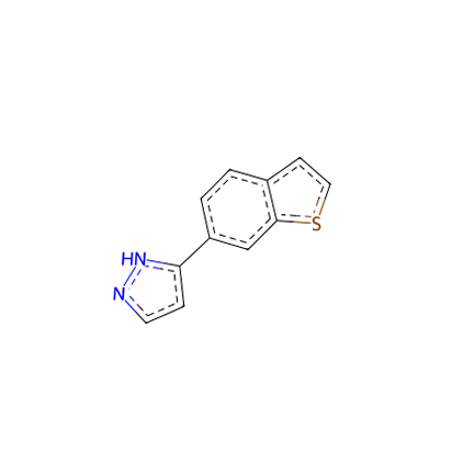 c1cc(-c2ccc3ccsc3c2)[nH]n1